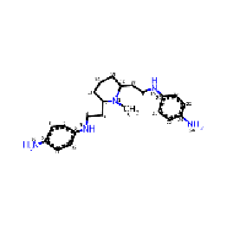 CN1C(CCNc2ccc(N)cc2)CCCC1CCNc1ccc(N)cc1